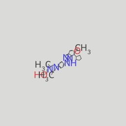 COc1ccc2cnc(Nc3ccc(N4CC(C)N(CCO)C(C)C4)cc3)nc2c1C1CCCC1